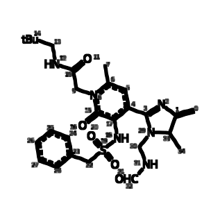 C=C1N=C(c2cc(C)n(CC(=O)NCC(C)(C)C)c(=O)c2NS(=O)(=O)Cc2ccccc2)N(CNC=O)C1C